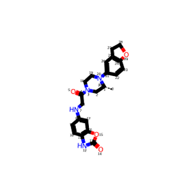 C[C@@H]1CN(C(=O)CNc2ccc3[nH]c(=O)oc3c2)CCN1c1ccc2c(c1)CCO2